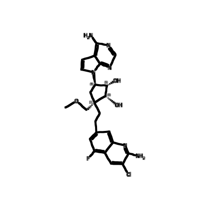 COC[C@]1(CCc2cc(F)c3cc(Cl)c(N)nc3c2)C[C@@H](n2ccc3c(N)ncnc32)[C@H](O)[C@@H]1O